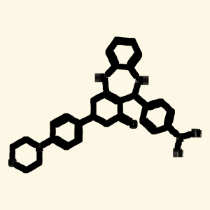 CCN(CC)c1ccc(C2Nc3ccccc3NC3=C2C(=O)CC(c2ccc(N4CCOCC4)cc2)C3)cc1